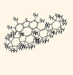 [2H]c1c([2H])c([2H])c2c(sc3c([2H])c([2H])c(C4=C5N=C6C([2H])([2H])C([2H])([2H])C([2H])([2H])C([2H])([2H])C6([2H])C5([2H])C([2H])([2H])C([2H])([2H])C4([2H])[2H])c(C4=C5N=C6C([2H])([2H])C([2H])([2H])C([2H])([2H])C([2H])([2H])C6([2H])C5([2H])C([2H])([2H])C([2H])([2H])C4([2H])[2H])c32)c1[2H]